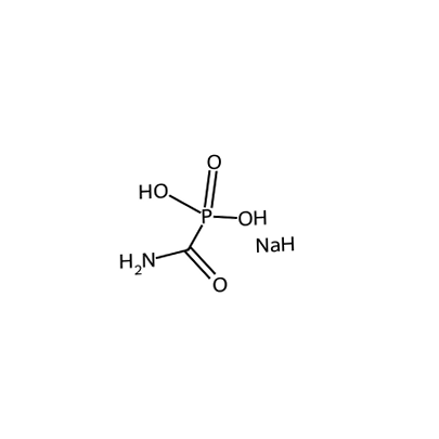 NC(=O)P(=O)(O)O.[NaH]